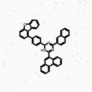 c1ccc2cc(C3=NC(c4ccc(-c5cccc6oc7ccccc7c56)cc4)NC(c4cc5ccccc5c5ccccc45)=N3)ccc2c1